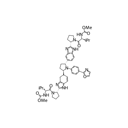 COC(=O)N[C@H](C(=O)N1CCC[C@H]1c1nc2c([nH]1)C=CC([C@H]1CC[C@H](c3ccc4[nH]c([C@@H]5CCCN5C(=O)[C@@H](NC(=O)OC)C(C)C)nc4c3)N1c1ccc(-c3ncco3)cc1)C2)C(C)C